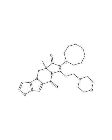 CC1(C(=O)NC2CCCCCCC2)Cn2c(cc3occc32)C(=O)N1CCCN1CCOCC1